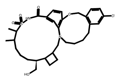 CC1CCC[C@H](CO)C2CCC2CN2CCCCc3cc(Cl)ccc3COc3ccc(cc32)C(=O)NS(=O)(=O)C1C